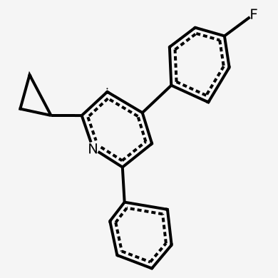 Fc1ccc(-c2[c]c(C3CC3)nc(-c3ccccc3)c2)cc1